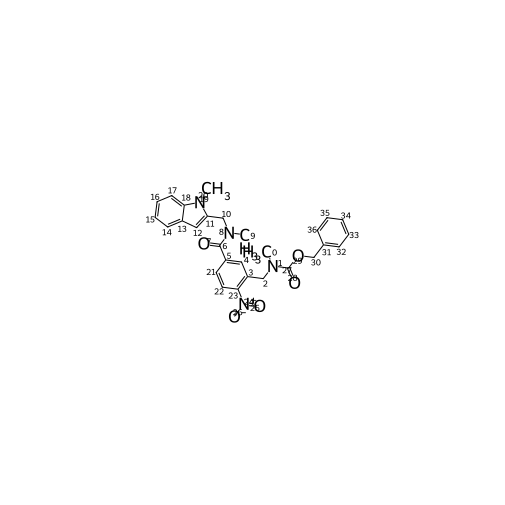 CN(Cc1cc(C(=O)N(C)Cc2cc3ccccc3n2C)ccc1[N+](=O)[O-])C(=O)OCc1ccccc1